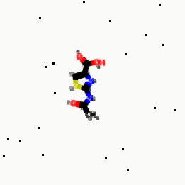 CC(=O)[N]c1nc(C(=O)O)cs1